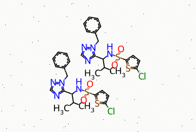 CC(C)C(NS(=O)(=O)c1ccc(Cl)s1)c1ncnn1Cc1ccccc1.CC(C)C(NS(=O)(=O)c1ccc(Cl)s1)c1ncnn1Cc1ccccc1